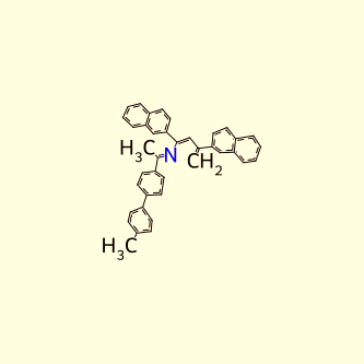 C=C(/C=C(\N=C(/C)c1ccc(-c2ccc(C)cc2)cc1)c1ccc2ccccc2c1)c1ccc2ccccc2c1